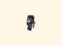 CC(C)/C(=N\NC(=S)N(C)C)c1ccccc1SSc1ccccc1/C(=N/NC(=S)N(C)c1ccccc1)C(C)C